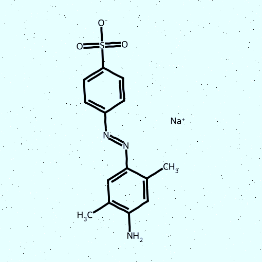 Cc1cc(N=Nc2ccc(S(=O)(=O)[O-])cc2)c(C)cc1N.[Na+]